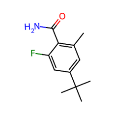 Cc1cc(C(C)(C)C)cc(F)c1C(N)=O